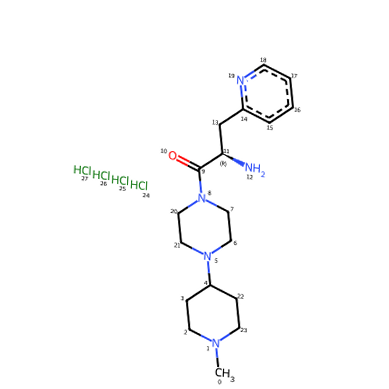 CN1CCC(N2CCN(C(=O)[C@H](N)Cc3ccccn3)CC2)CC1.Cl.Cl.Cl.Cl